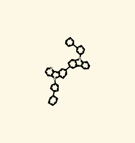 c1ccc(-c2ccc(-n3c4ccc(-c5ccc6c(c5)c5ccccc5n6-c5cccc(-c6ccccc6)c5)cc4c4ncccc43)cc2)cc1